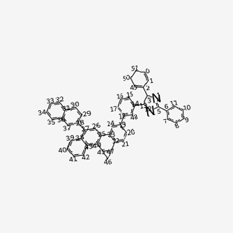 C1=CC(C2N=C(c3ccccc3)N=C2c2cccc(-c3ccc4c(c3)-c3cc(-c5ccc6ccccc6c5)c5ccccc5c3C3CC43)c2)=CCC1